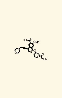 CC(C)Oc1cc2c(OC3CCCN(C(=O)CC#N)C3)ncc(C#CCC3CCOCC3)c2cc1C(N)=O